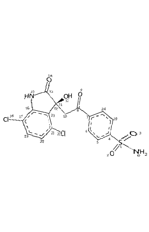 NS(=O)(=O)c1ccc(C(=O)C[C@@]2(O)C(=O)Nc3c(Cl)ccc(Cl)c32)cc1